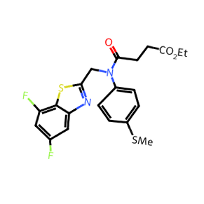 CCOC(=O)CCC(=O)N(Cc1nc2cc(F)cc(F)c2s1)c1ccc(SC)cc1